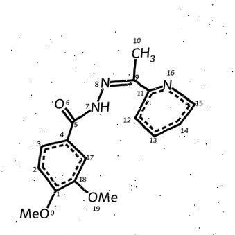 COc1ccc(C(=O)NN=C(C)c2ccccn2)cc1OC